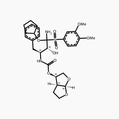 COc1ccc(S(=O)(=O)C(N)(OC2CCCC2)[C@H](O)[C@H](Cc2ccccc2)NC(=O)O[C@H]2CO[C@H]3OCC[C@H]32)cc1OC